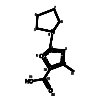 Cc1cc(N2CCCC2)oc1C(=O)O